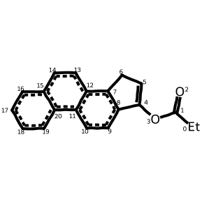 CCC(=O)OC1=CCc2c1ccc1c2ccc2ccccc21